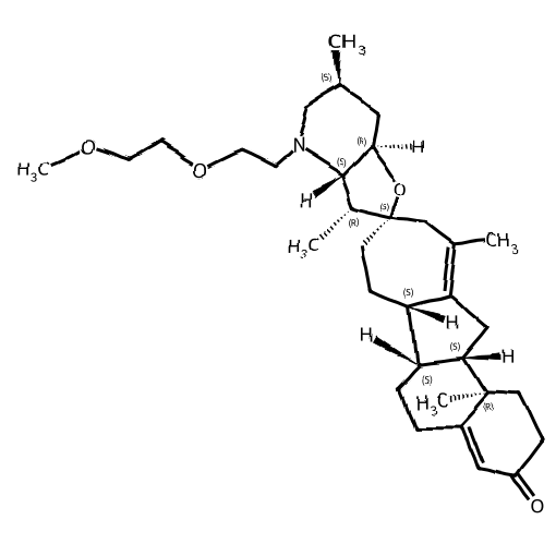 COCCOCCN1C[C@@H](C)C[C@H]2O[C@]3(CC[C@@H]4C(=C(C)C3)C[C@H]3[C@@H]4CCC4=CC(=O)CC[C@@]43C)[C@H](C)[C@@H]21